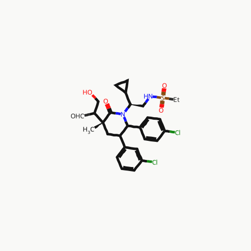 CCS(=O)(=O)NC[C@H](C1CC1)N1C(=O)[C@@](C)(C(C=O)CO)CC(c2cccc(Cl)c2)C1c1ccc(Cl)cc1